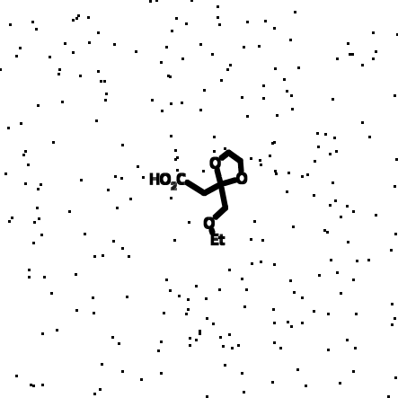 CCOCC1(CC(=O)O)OCCO1